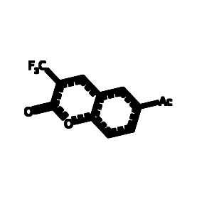 CC(=O)c1ccc2oc(=O)c(C(F)(F)F)cc2c1